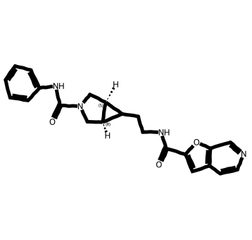 O=C(NCCC1[C@H]2CN(C(=O)Nc3ccccc3)C[C@@H]12)c1cc2ccncc2o1